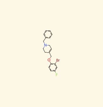 Fc1ccc(OCC2=CCN(Cc3ccccc3)CC2)c(Br)c1